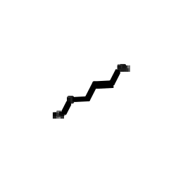 CCCOC/C=C/C(C)(C)C